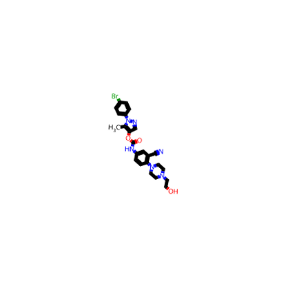 Cc1c(OC(=O)Nc2ccc(N3CCN(CCO)CC3)c(C#N)c2)cnn1-c1ccc(Br)cc1